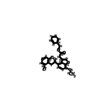 COc1ccc(C(=O)Cc2c(Cl)cncc2Cl)c2c(CC(=O)OCc3ccccc3)coc12